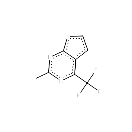 FC(F)(F)c1nc(Cl)nc2sccc12